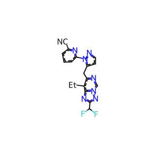 CCc1c(Cc2ccnn2-c2cccc(C#N)n2)ncn2nc(C(F)F)nc12